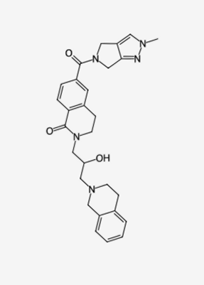 Cn1cc2c(n1)CN(C(=O)c1ccc3c(c1)CCN(CC(O)CN1CCc4ccccc4C1)C3=O)C2